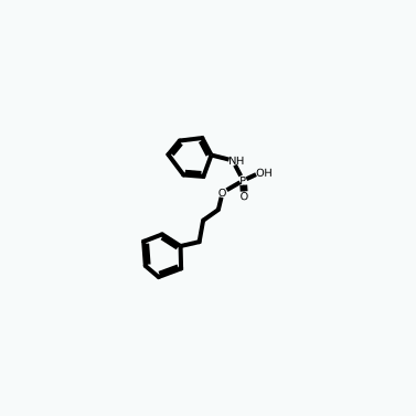 O=P(O)(Nc1ccccc1)OCCCc1ccccc1